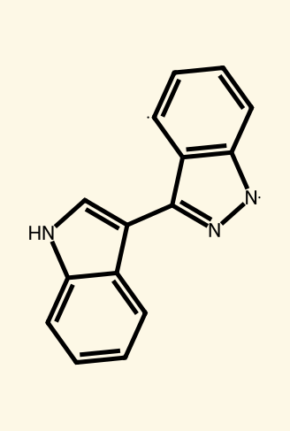 [c]1cccc2c1C(c1c[nH]c3ccccc13)=N[N]2